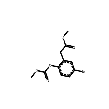 COC(=O)Cc1cc(Br)ccc1OC(=O)OC